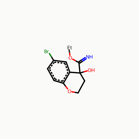 CCOC(=N)C1(O)CCOc2ccc(Br)cc21